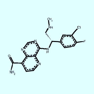 CNC[C@@H](Nc1ncnc2c(C(N)=O)ccnc12)c1ccc(F)c(Cl)c1